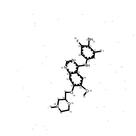 Bc1c(F)cc(Nc2ncnc3cc(OCC4CN(C)CCO4)c(OC)cc23)cc1F